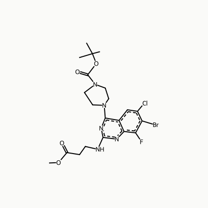 COC(=O)CCNc1nc(N2CCN(C(=O)OC(C)(C)C)CC2)c2cc(Cl)c(Br)c(F)c2n1